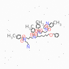 Cc1ccc(S(=O)(=O)N(CCC#N)CCCCN(CC(CCCCCCOCc2ccccc2)CN(CCCCN(CCC#N)S(=O)(=O)c2ccc(C)cc2)S(=O)(=O)c2ccc(C)cc2)S(=O)(=O)c2ccc(C)cc2)cc1